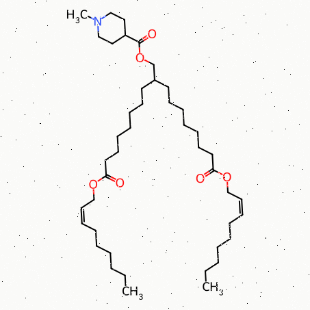 CCCCCC/C=C\COC(=O)CCCCCCCC(CCCCCCCC(=O)OC/C=C\CCCCCC)COC(=O)C1CCN(C)CC1